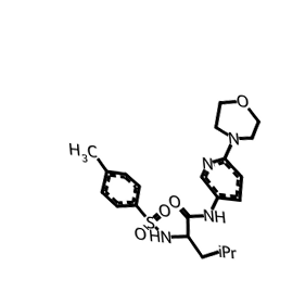 Cc1ccc(S(=O)(=O)NC(CC(C)C)C(=O)Nc2ccc(N3CCOCC3)nc2)cc1